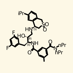 CCCN(CCC)C(=O)c1cc(C)cc(C(=O)N[C@@H](Cc2cc(F)cc(F)c2)[C@H](O)CN[C@@H]2CS(=O)(=O)Cc3ccc(C(C)C)cc32)c1